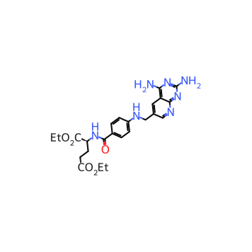 CCOC(=O)CC[C@H](NC(=O)c1ccc(NCc2cnc3nc(N)nc(N)c3c2)cc1)C(=O)OCC